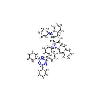 c1ccc(-c2nc(-c3ccccc3)nc(-c3cccc4c(-n5c6cc7ccccc7cc6c6cc7c8ccccc8n(-c8ccccc8)c7cc65)cccc34)n2)cc1